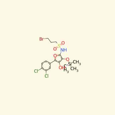 C[Si](C)(C)Oc1c(NS(=O)(=O)CCCBr)oc(-c2ccc(Cl)c(Cl)c2)c1O